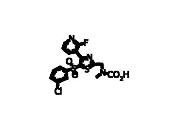 CN(Cc1nc(-c2cccnc2F)c(S(=O)(=O)c2cccc(Cl)c2)s1)C(=O)O